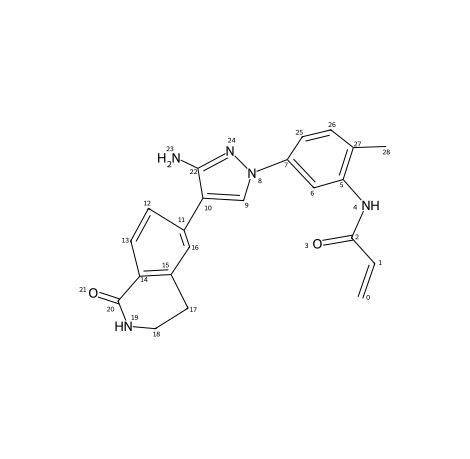 C=CC(=O)Nc1cc(-n2cc(-c3ccc4c(c3)CCNC4=O)c(N)n2)ccc1C